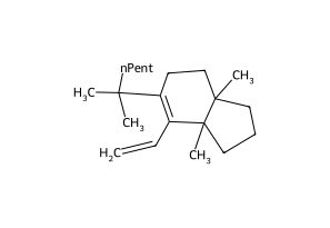 C=CC1=C(C(C)(C)CCCCC)CCC2(C)CCCC12C